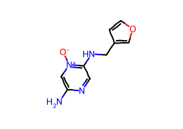 Nc1c[n+]([O-])c(NCc2ccoc2)cn1